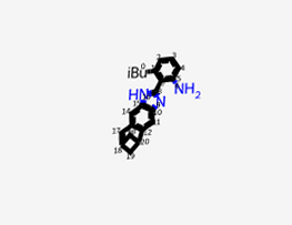 CCC(C)c1cccc(N)c1-c1nc2cc3c(cc2[nH]1)C=C1CC3C1